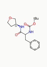 CC(C)(C)OC(=O)NC(Cc1ccccc1)C(=O)N[C@H]1CCOC1